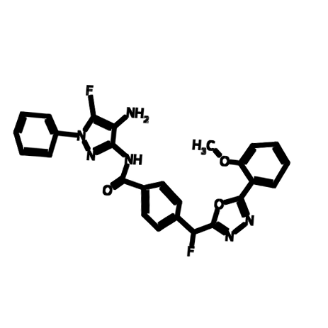 COc1ccccc1-c1nnc(C(F)c2ccc(C(=O)Nc3nn(-c4ccccc4)c(F)c3N)cc2)o1